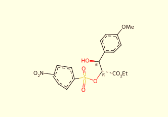 CCOC(=O)[C@H](OS(=O)(=O)c1ccc([N+](=O)[O-])cc1)[C@@H](O)c1ccc(OC)cc1